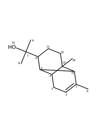 CC1=CCC2C3C(C(C)(C)O)CCC2(C)C13